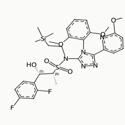 COc1cccc(-c2nnc(N(CC[Si](C)(C)C)S(=O)(=O)[C@H](C)[C@@H](O)c3ccc(F)cc3F)n2-c2c(OC)cccc2OC)n1